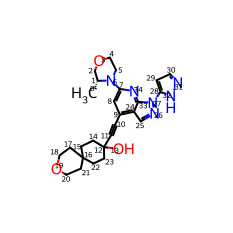 C[C@@H]1COCCN1c1cc(C#CC2(O)CCC3(CCOCC3)CC2)c2cnn(-c3ccn[nH]3)c2n1